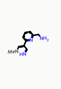 CN/C=C(\C=N)c1cccc(CN)n1